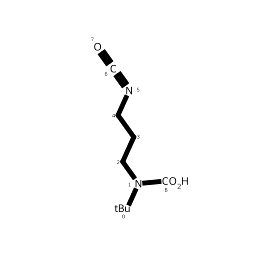 CC(C)(C)N(CCCN=C=O)C(=O)O